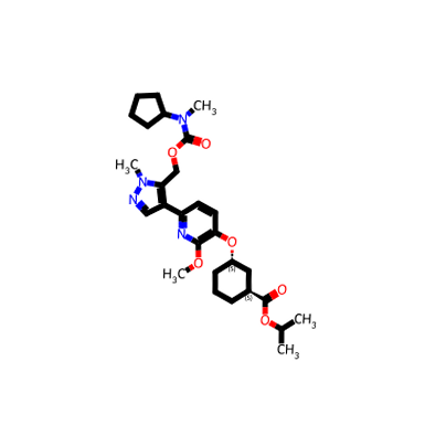 COc1nc(-c2cnn(C)c2COC(=O)N(C)C2CCCC2)ccc1O[C@H]1CCC[C@H](C(=O)OC(C)C)C1